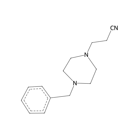 N#CCCN1CCN(Cc2ccccc2)CC1